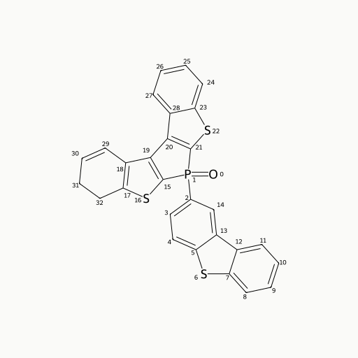 O=P1(c2ccc3sc4ccccc4c3c2)c2sc3c(c2-c2c1sc1ccccc21)C=CCC3